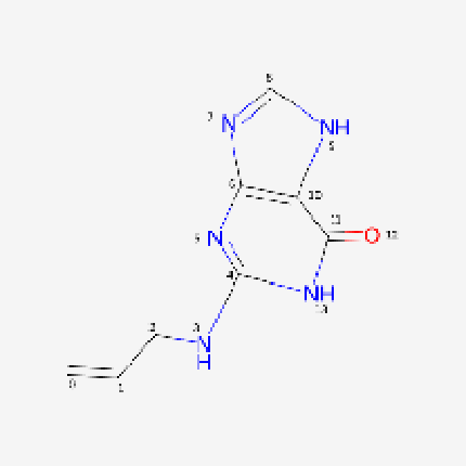 C=CCNc1nc2nc[nH]c2c(=O)[nH]1